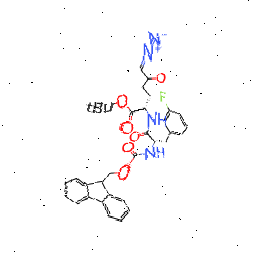 CC(C)(C)OC(=O)[C@H](CCC(=O)C=[N+]=[N-])NC(=O)[C@H](Cc1cccc(F)c1)NC(=O)OCC1c2ccccc2-c2ccccc21